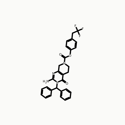 Nc1nc2c(c(=O)n1C(c1ccccc1)c1ccccc1)CCN(C(=O)Oc1ccc(CC(F)(F)F)cc1)C2